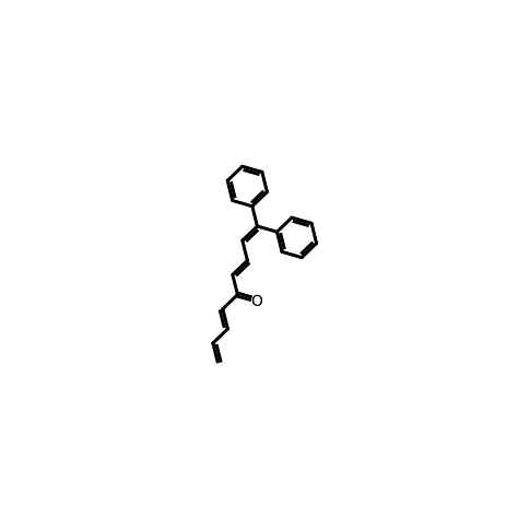 C=C/C=C/C(=O)/C=C/C=C(c1ccccc1)c1ccccc1